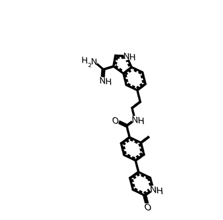 Cc1cc(-c2ccc(=O)[nH]c2)ccc1C(=O)NCCc1ccc2[nH]cc(C(=N)N)c2c1